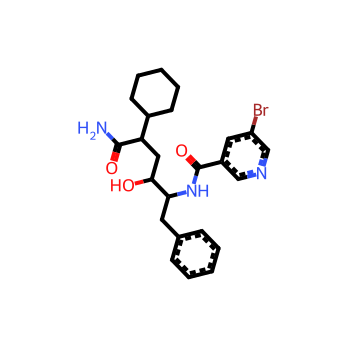 NC(=O)C(CC(O)C(Cc1ccccc1)NC(=O)c1cncc(Br)c1)C1CCCCC1